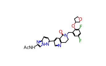 CC(=O)Nc1cn2nc(-c3cnc4c(c3)C(=O)N(Cc3cc(F)cc(F)c3OC3CCOC3)CC4)ccc2n1